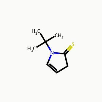 CC(C)(C)N1C=CCC1=S